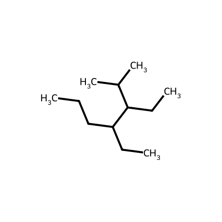 CCCC(CC)C(CC)[C](C)C